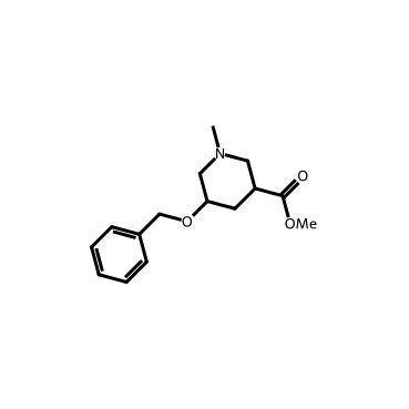 COC(=O)C1CC(OCc2ccccc2)CN(C)C1